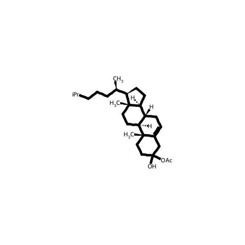 CC(=O)OC1(O)CC[C@@]2(C)C(=CC[C@H]3[C@@H]4CC[C@H]([C@H](C)CCCC(C)C)[C@@]4(C)CC[C@@H]32)C1